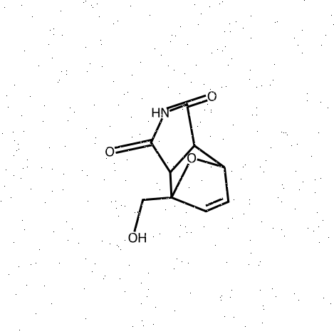 O=C1NC(=O)C2C1C1C=CC2(CO)O1